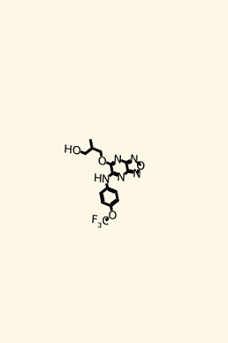 CC(CO)COc1nc2nonc2nc1Nc1ccc(OC(F)(F)F)cc1